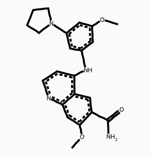 COc1cc(Nc2ccnc3cc(OC)c(C(N)=O)cc23)cc(N2CCCC2)c1